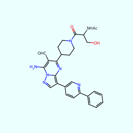 CC(=O)NC(CO)C(=O)N1CCC(c2nc3c(-c4ccc(-c5ccccc5)nc4)cnn3c(N)c2C=O)CC1